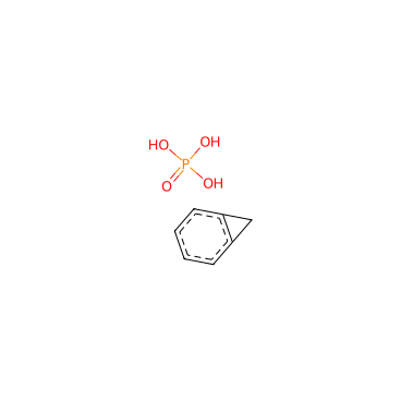 O=P(O)(O)O.c1ccc2c(c1)C2